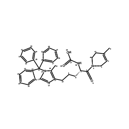 CC1=CCN(C(=O)[C@H](CCCc2ncn(C(c3ccccc3)(c3ccccc3)c3ccccc3)c2C)NC(=O)O)CC1